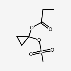 CCC(=O)OC1(OS(C)(=O)=O)CC1